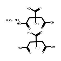 N.O=C(O)CC(O)(CC(=O)O)C(=O)O.O=C(O)CC(O)(CC(=O)O)C(=O)O.[CaH2]